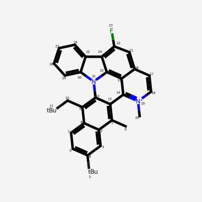 Cc1c2cc(C(C)(C)C)ccc2c(CC(C)(C)C)c2c1c1c3c(cc[n+]1C)cc(F)c1c4ccccc4n2c13